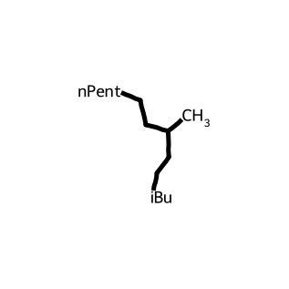 [CH2]CC(C)CCC(C)CCCCCCC